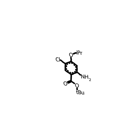 CC(C)Oc1cc(N)c(C(=O)OC(C)(C)C)cc1Cl